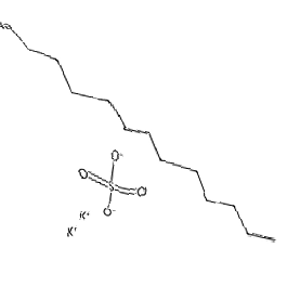 CCCCCCCCCCC[CH2][Na].O=S(=O)([O-])[O-].[K+].[K+]